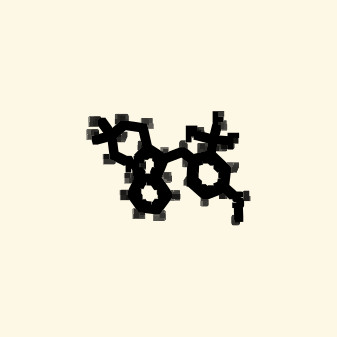 CSc1ccc(Cc2c3n(c4ccccc24)CC(C)(C)CC3)c(C(F)(F)F)c1